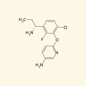 CC[C@@H](N)c1ccc(Cl)c(Oc2ccc(N)cn2)c1F